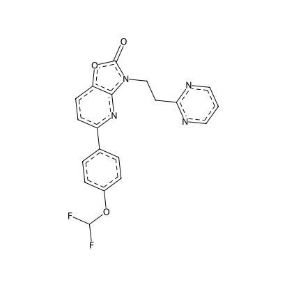 O=c1oc2ccc(-c3ccc(OC(F)F)cc3)nc2n1CCc1ncccn1